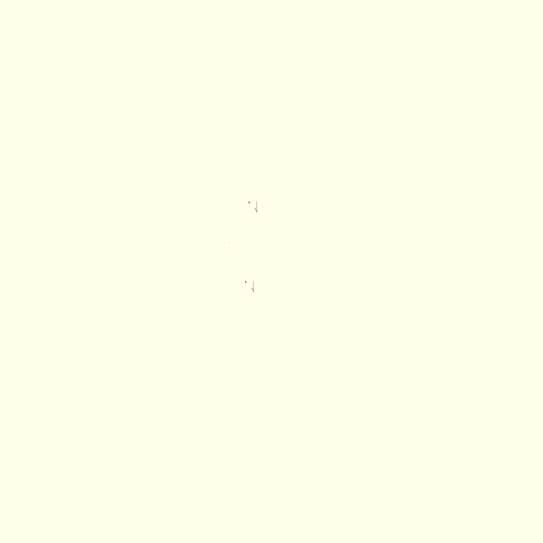 C=C1N=C(C)C(C)=CN1C(C)C